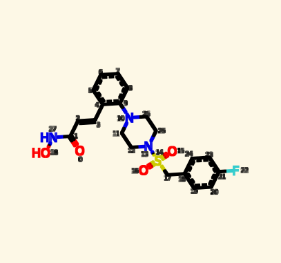 O=C(C=Cc1ccccc1N1CCN(S(=O)(=O)Cc2ccc(F)cc2)CC1)NO